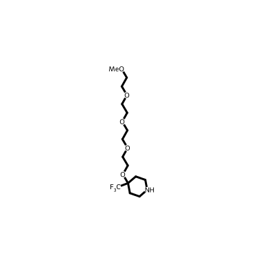 COCCOCCOCCOCCOC1(C(F)(F)F)CCNCC1